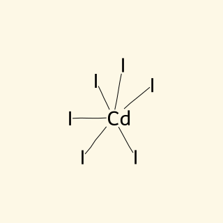 [I][Cd]([I])([I])([I])([I])[I]